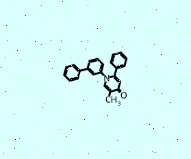 Cc1cn(-c2cccc(-c3ccccc3)c2)c(-c2ccccc2)cc1=O